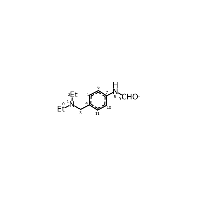 CCN(CC)Cc1ccc(N[C]=O)cc1